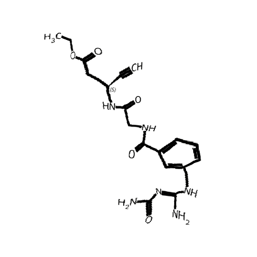 C#C[C@H](CC(=O)OCC)NC(=O)CNC(=O)c1cccc(NC(N)=NC(N)=O)c1